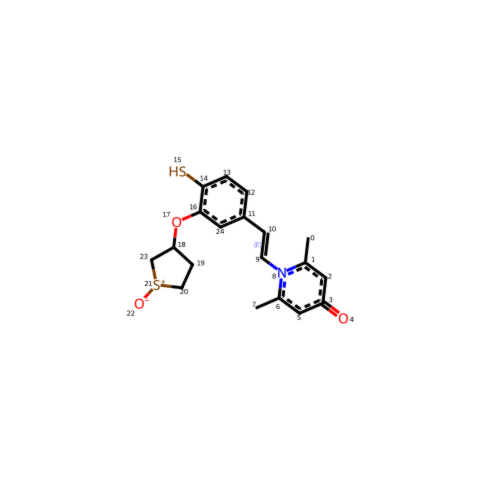 Cc1cc(=O)cc(C)n1/C=C/c1ccc(S)c(OC2CC[S+]([O-])C2)c1